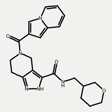 O=C(NCC1CCCOC1)c1[nH]nc2c1CN(C(=O)c1cc3ccccn3c1)CC2